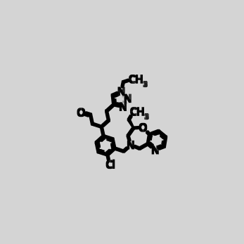 CC[C@@H]1CN(Cc2cc(C(CC=O)CCc3cn(CC)nn3)ccc2Cl)Cc2ncccc2O1